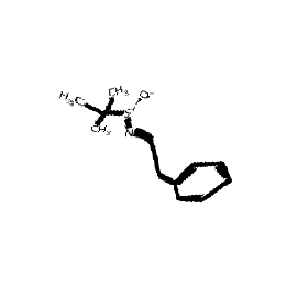 CC(C)(C)[S@+]([O-])/N=C/Cc1ccccc1